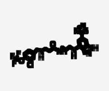 O=C(CCNCc1ccc(OC(F)(F)F)c(Cl)c1)NCCCNc1cc(-c2ncns2)cc2[nH]ncc12